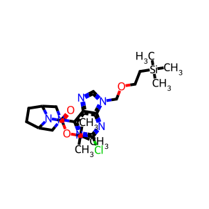 CC(C)(C)OC(=O)N1C2CCC1CN(c1nc(Cl)nc3c1ncn3COCC[Si](C)(C)C)C2